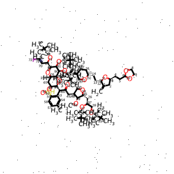 C=C1C[C@H](CCC2OCCO2)O[C@H]1CC[C@H]1C[C@@H](C)C(=C)[C@@H](C[C@@H]2O[C@H](C[C@@H](CO[Si](C)(C)C(C)(C)C)O[Si](C)(C)C(C)(C)C)[C@H](OC)[C@H]2CC(=O)C(c2cc(C)ccc2[SH](=O)=O)[C@H]2CC[C@@H]3O[C@@H](C(/C=C/I)O[Si](C)(C)C(C)(C)C)C(O[Si](C)(C)C(C)(C)C)C(O[Si](C)(C)C(C)(C)C)[C@H]3O2)O1